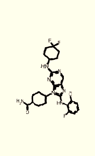 NC(=O)C1CCC(n2c(Nc3c(F)cccc3Cl)nc3cnc(NC4CCC(F)(F)CC4)nc32)CC1